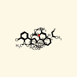 CC(=O)O[C@H]1C(C)=C[C@@H]2[C@H](C(C)CF)CC[C@@H](C)[C@]2(O)[C@H]1[C@]1(C(=O)O)C[C@@]2(OC(=O)OC(C)(C)C)c3cccc(Cl)c3N(C)O[C@H]2[N+]1(C(=O)[O-])C(C)(C)C